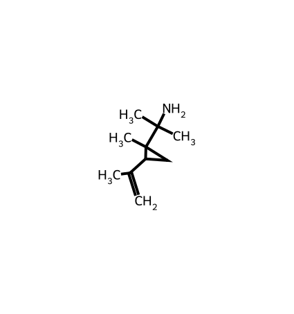 C=C(C)C1CC1(C)C(C)(C)N